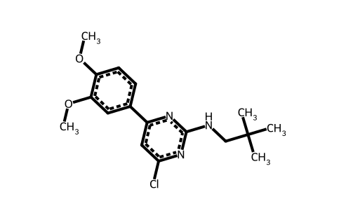 COc1ccc(-c2cc(Cl)nc(NCC(C)(C)C)n2)cc1OC